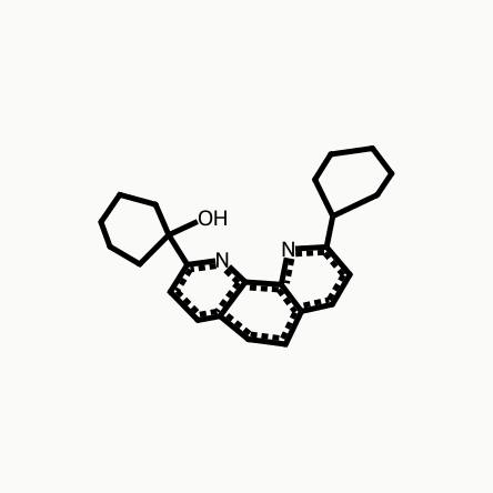 OC1(c2ccc3ccc4ccc(C5CCCCC5)nc4c3n2)CCCCC1